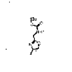 CC1COC(CNC(=O)OC(C)(C)C)=N1